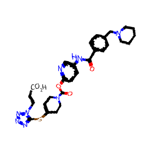 O=C(O)CCn1nnnc1SC1CCN(C(=O)Oc2ccc(NC(=O)c3ccc(CN4CCCCC4)cc3)cn2)CC1